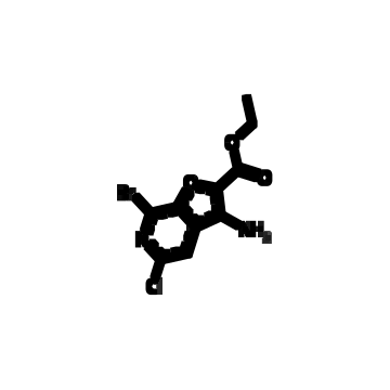 CCOC(=O)c1oc2c(Br)nc(Cl)cc2c1N